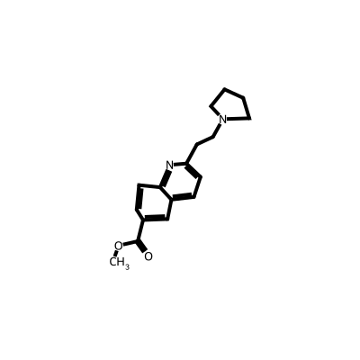 COC(=O)c1ccc2nc(CCN3CCCC3)ccc2c1